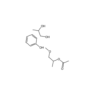 CC(O)CO.COCC(C)OC(C)=O.Oc1ccccc1